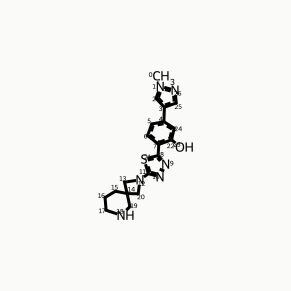 Cn1cc(-c2ccc(-c3nnc(N4CC5(CCCNC5)C4)s3)c(O)c2)cn1